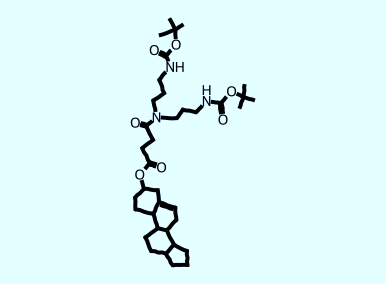 CC(C)(C)OC(=O)NCCCN(CCCNC(=O)OC(C)(C)C)C(=O)CCC(=O)OC1CCC2C(=CCC3C4CCCC4CCC23)C1